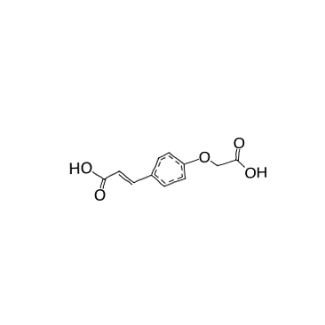 O=C(O)/C=C/c1ccc(OCC(=O)O)cc1